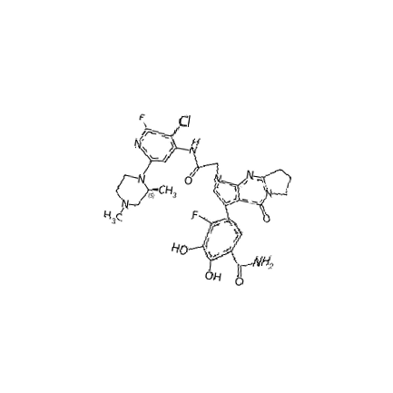 C[C@H]1CN(C)CCN1c1cc(NC(=O)Cn2cc(-c3cc(C(N)=O)c(O)c(O)c3F)c3c(=O)n4c(nc32)CCC4)c(Cl)c(F)n1